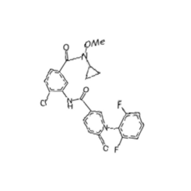 CON(C(=O)c1ccc(Cl)c(NC(=O)c2ccc(=O)n(-c3c(F)cccc3F)c2)c1)C1CC1